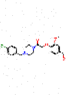 COc1cc(C=O)ccc1OCC(=O)N1CCN(Cc2ccc(Cl)cc2)CC1